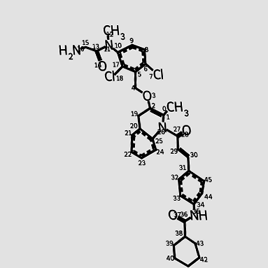 CC1=C(OCc2c(Cl)ccc(N(C)C(=O)CN)c2Cl)Cc2ccccc2N1C(=O)C=Cc1ccc(NC(=O)C2CCCCC2)cc1